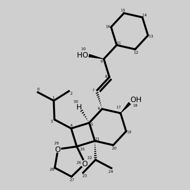 CC(C)CC1[C@H]2[C@H](/C=C/[C@@H](O)C3CCCCC3)[C@@H](O)CC[C@@]2(C(C)C)C12OCCO2